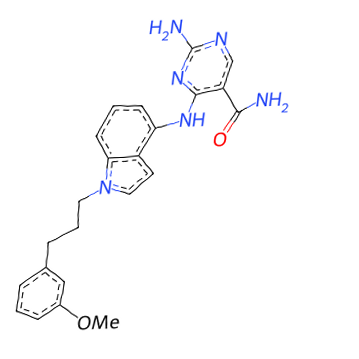 COc1cccc(CCCn2ccc3c(Nc4nc(N)ncc4C(N)=O)cccc32)c1